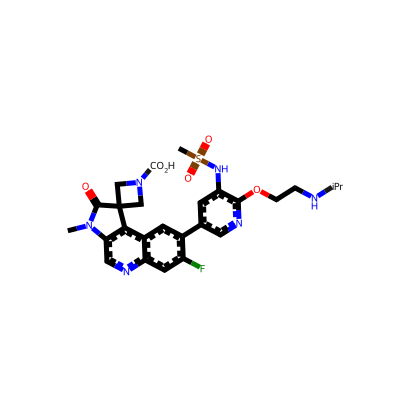 CC(C)NCCOc1ncc(-c2cc3c4c(cnc3cc2F)N(C)C(=O)C42CN(C(=O)O)C2)cc1NS(C)(=O)=O